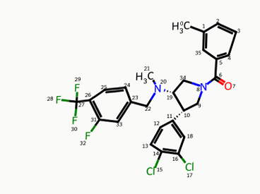 Cc1cccc(C(=O)N2C[C@H](c3ccc(Cl)c(Cl)c3)[C@H](N(C)Cc3ccc(C(F)(F)F)c(F)c3)C2)c1